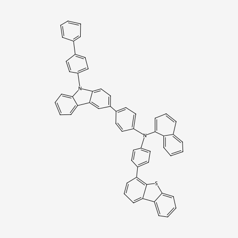 c1ccc(-c2ccc(-n3c4ccccc4c4cc(-c5ccc(N(c6ccc(-c7cccc8c7sc7ccccc78)cc6)c6cccc7ccccc67)cc5)ccc43)cc2)cc1